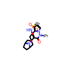 CC(C)n1c(=O)c(C2CC3CCC(C2)N3CCCNS(=O)(=O)C(C)C)cc2cccn21